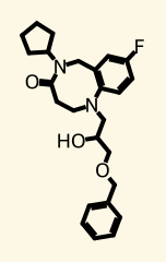 O=C1CCN(CC(O)COCc2ccccc2)c2ccc(F)cc2CN1C1CCCC1